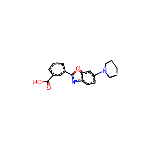 O=C(O)c1cccc(-c2nc3ccc(N4CCCCC4)cc3o2)c1